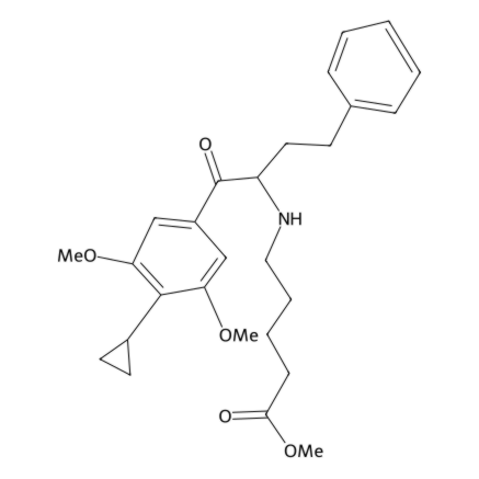 COC(=O)CCCCNC(CCc1ccccc1)C(=O)c1cc(OC)c(C2CC2)c(OC)c1